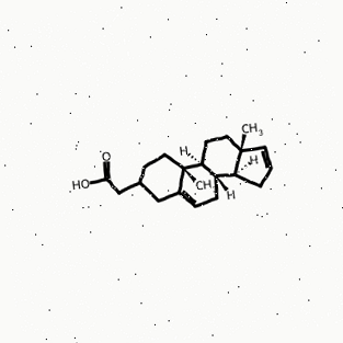 C[C@@]12C=CC[C@H]1[C@@H]1CC=C3CC(CC(=O)O)CC[C@]3(C)[C@H]1CC2